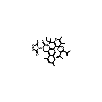 C=C(C)C1=C(C(=C)C)SC2(S1)C(C)=C(C)SC1=C2c2cc3c(c4c2N(C(=O)N(n2c(=O)ssc2=O)C4)C1(C)CC)C(C)=CC(C)C3